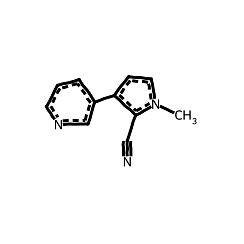 Cn1ccc(-c2cccnc2)c1C#N